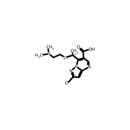 C[C@H](OCCN(C)C)c1c(C(=O)O)cnc2cc(Cl)nn12